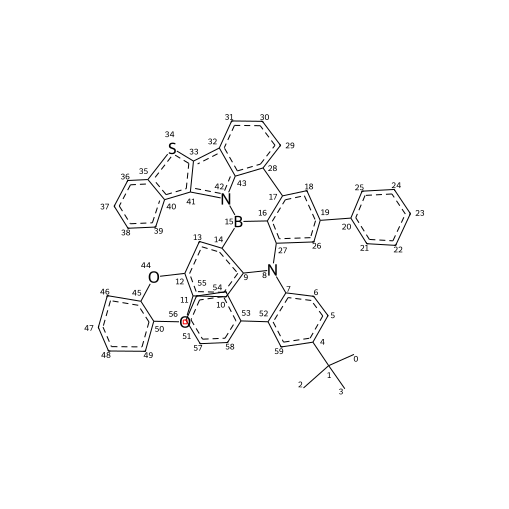 CC(C)(C)c1ccc(N2c3cc4c(cc3B3c5c(cc(-c6ccccc6)cc52)-c2cccc5c6sc7ccccc7c6n3c25)Oc2ccccc2O4)c(-c2ccccc2)c1